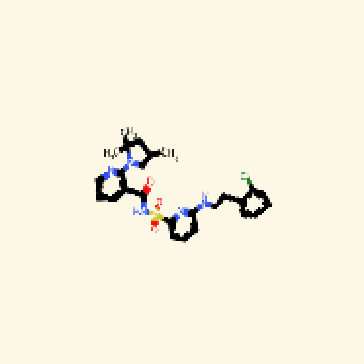 CC1CN(c2ncccc2C(=O)NS(=O)(=O)c2cccc(NCCc3ccccc3Cl)n2)C(C)(C)C1